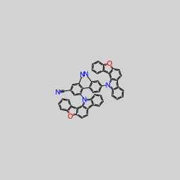 N#Cc1cc(C#N)c(-c2ccc(-n3c4ccccc4c4ccc5oc6ccccc6c5c43)cc2C#N)c(-n2c3ccccc3c3ccc4oc5ccccc5c4c32)c1